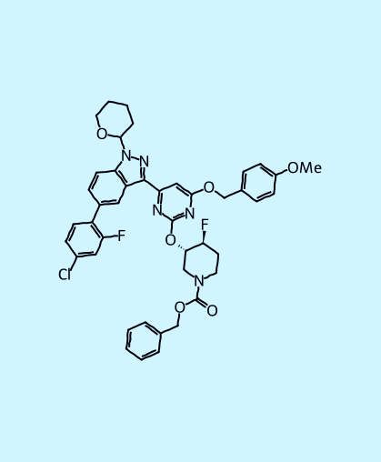 COc1ccc(COc2cc(-c3nn(C4CCCCO4)c4ccc(-c5ccc(Cl)cc5F)cc34)nc(O[C@H]3CN(C(=O)OCc4ccccc4)CC[C@@H]3F)n2)cc1